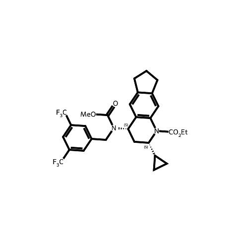 CCOC(=O)N1c2cc3c(cc2[C@@H](N(Cc2cc(C(F)(F)F)cc(C(F)(F)F)c2)C(=O)OC)C[C@H]1C1CC1)CCC3